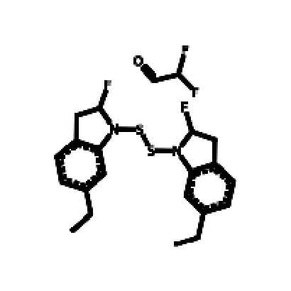 CCc1ccc2c(c1)N(SSN1c3cc(CC)ccc3CC1F)C(F)C2.O=CC(F)F